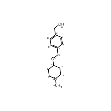 CN1CCC(OCc2ccc(CO)cc2)CC1